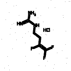 Cl.N=C(N)NCCC(F)=C(F)F